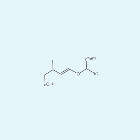 CCCCCCCCCC(C)C=COC(CC)CCCCC